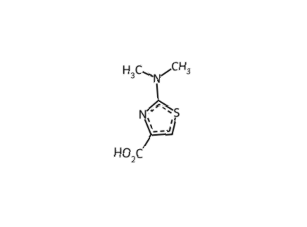 CN(C)c1nc(C(=O)O)cs1